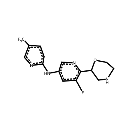 Fc1cc(Nc2ccc(C(F)(F)F)cn2)cnc1C1CNCCO1